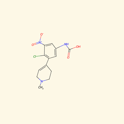 CN1CC=C(c2cc(NC(=O)O)cc([N+](=O)[O-])c2Cl)CC1